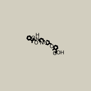 Cc1c(OCC2CCN(c3ccc(NC(=O)c4oc5ccccc5c4C)cn3)CC2)cccc1C(=O)O